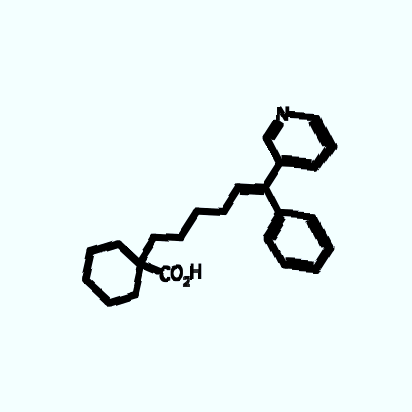 O=C(O)C1(CCCC/C=C(\c2ccccc2)c2cccnc2)CCCCC1